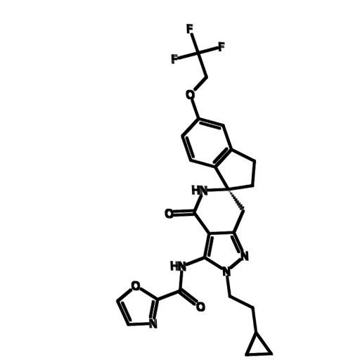 O=C(Nc1c2c(nn1CCC1CC1)C[C@]1(CCc3cc(OCC(F)(F)F)ccc31)NC2=O)c1ncco1